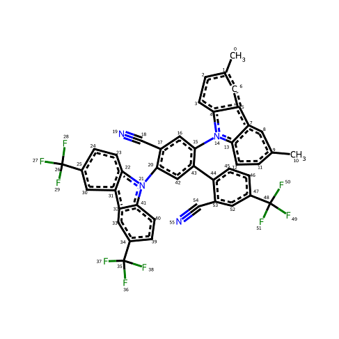 Cc1ccc2c(c1)c1cc(C)ccc1n2-c1cc(C#N)c(-n2c3ccc(C(F)(F)F)cc3c3cc(C(F)(F)F)ccc32)cc1-c1ccc(C(F)(F)F)cc1C#N